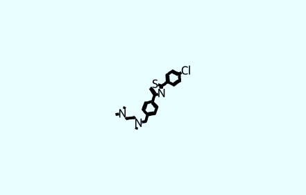 CN(C)CCN(C)Cc1ccc(-c2csc(-c3ccc(Cl)cc3)n2)cc1